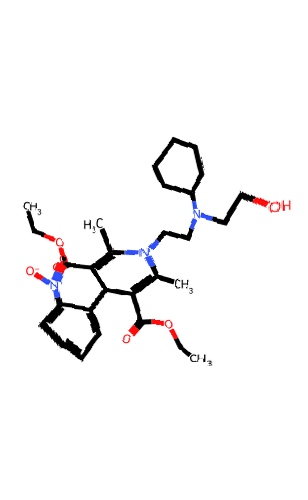 CCOC(=O)C1=C(C)N(CCN(CCO)C2CCCCC2)C(C)=C(C(=O)OCC)C1c1ccccc1[N+](=O)[O-]